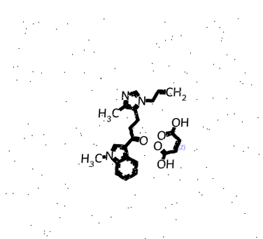 C=CCn1cnc(C)c1CCC(=O)c1cn(C)c2ccccc12.O=C(O)/C=C\C(=O)O